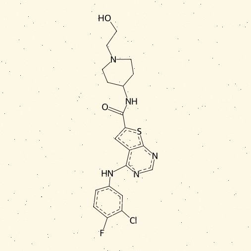 O=C(NC1CCN(CCO)CC1)c1cc2c(Nc3ccc(F)c(Cl)c3)ncnc2s1